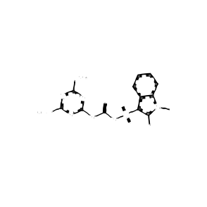 COc1nc(NC(=O)NS(=O)(=O)c2c(C(=O)O)n(C)c3ccccc23)nc(OC)n1